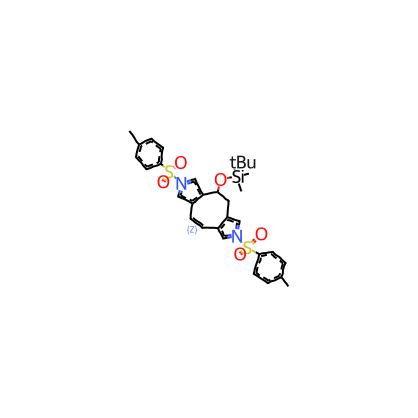 Cc1ccc(S(=O)(=O)n2cc3c(c2)CC(O[Si](C)(C)C(C)(C)C)c2cn(S(=O)(=O)c4ccc(C)cc4)cc2/C=C\3)cc1